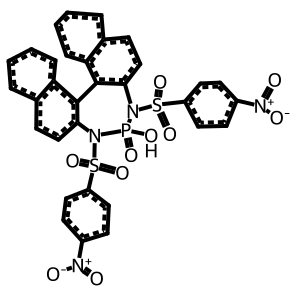 O=[N+]([O-])c1ccc(S(=O)(=O)N2c3ccc4ccccc4c3-c3c(ccc4ccccc34)N(S(=O)(=O)c3ccc([N+](=O)[O-])cc3)P2(=O)O)cc1